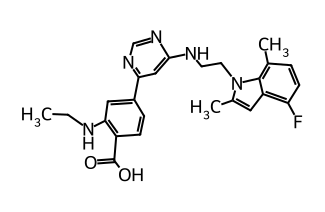 CCNc1cc(-c2cc(NCCn3c(C)cc4c(F)ccc(C)c43)ncn2)ccc1C(=O)O